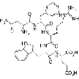 N=C(N)NCCC[C@H](NC(=O)[C@@H](Cc1ccccc1)NC(=O)[C@@H](N)CC(N)=O)C(=O)N[C@@H](Cc1c[nH]c2ccccc12)C(=O)N[C@@H](CCC(=O)O)C(=O)O